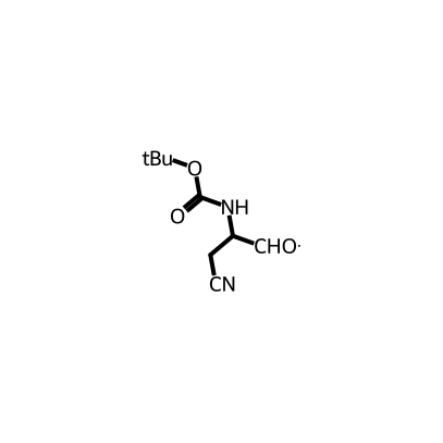 CC(C)(C)OC(=O)NC([C]=O)CC#N